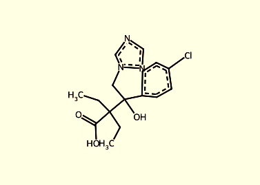 CCC(CC)(C(=O)O)C(O)(Cn1cncn1)c1ccc(Cl)cc1